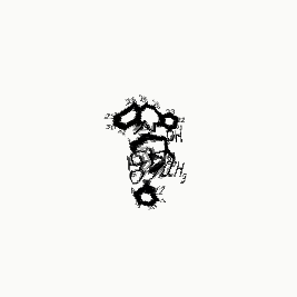 CCC(NS(=O)(=O)c1ccccc1)C(O)C(CC)N1c2ccccc2CCc2ccccc21